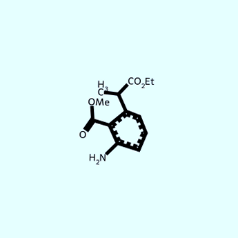 CCOC(=O)C(C)c1cccc(N)c1C(=O)OC